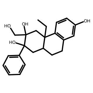 CCC12CC(O)(CO)C(O)(c3ccccc3)CC1CCc1cc(O)ccc12